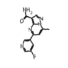 Cc1cc(-c2cncc(F)c2)nc2c(C(N)=O)cnn12